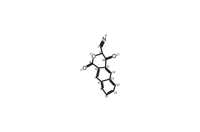 N#CC1OC(=O)c2cc3ccccc3cc2C1=O